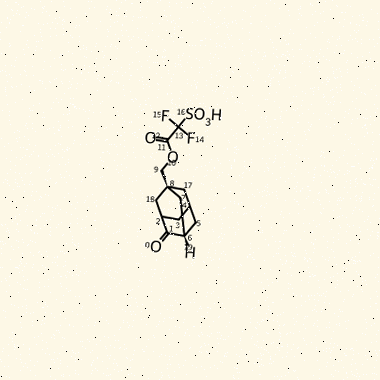 O=C1C2CC3C[C@H]1C[C@@](COC(=O)C(F)(F)S(=O)(=O)O)(C3)C2